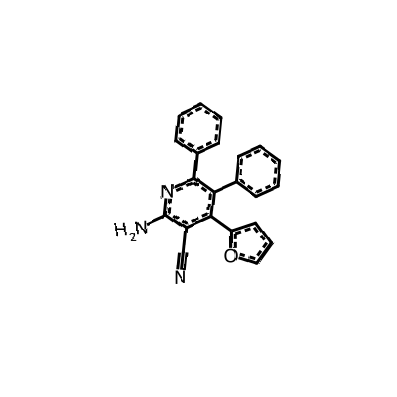 N#Cc1c(N)nc(-c2ccccc2)c(-c2ccccc2)c1-c1ccco1